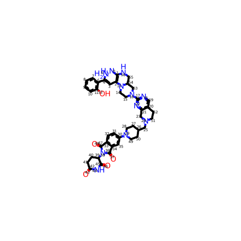 NC1=C(/C=C(\N)c2ccccc2O)N2CCN(c3ncc4c(n3)CN(CC3CCN(c5ccc6c(c5)C(=O)N(C5CCC(=O)NC5=O)C6=O)CC3)CC4)CC2CN1